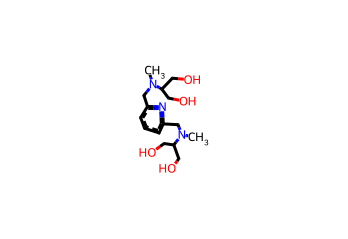 CN(Cc1cccc(CN(C)C(CO)CO)n1)C(CO)CO